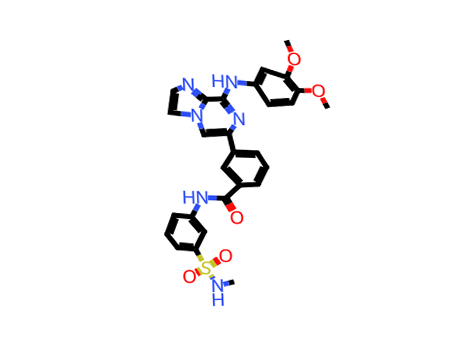 CNS(=O)(=O)c1cccc(NC(=O)c2cccc(-c3cn4ccnc4c(Nc4ccc(OC)c(OC)c4)n3)c2)c1